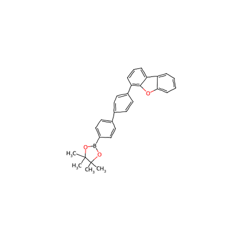 CC1(C)OB(c2ccc(-c3ccc(-c4cccc5c4oc4ccccc45)cc3)cc2)OC1(C)C